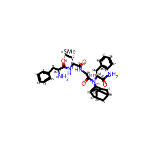 CSCC[C@@H](NC(=O)[C@@H](N)Cc1ccccc1)C(=O)NCC(=O)N(C1C2CC3CC(C2)CC1C3)[C@@H](Cc1ccccc1)C(N)=O